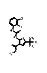 COC(=O)c1cc(C(C)(C)C)sc1NC(=O)Nc1cccc(Cl)c1Cl